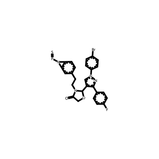 O=C1COC(c2cn(-c3ccc(Br)cc3)nc2-c2ccc(F)cc2)N1CCc1ccc2c(c1)N2P=S